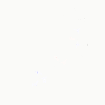 CN(C(=O)CN(CC(=O)O)Cc1csc(C(=O)O)c1)c1ccc(OC(=O)c2ccc(NC(=N)N)cc2)cc1Cl